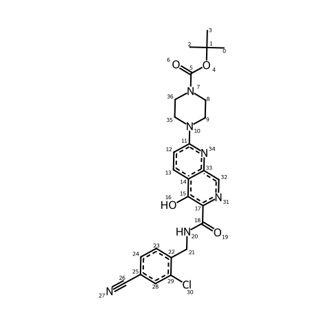 CC(C)(C)OC(=O)N1CCN(c2ccc3c(O)c(C(=O)NCc4ccc(C#N)cc4Cl)ncc3n2)CC1